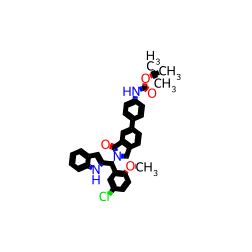 COc1ccc(Cl)cc1[C@H](c1cc2ccccc2[nH]1)N1Cc2ccc(-c3ccc(NC(=O)OC(C)(C)C)cc3)cc2C1=O